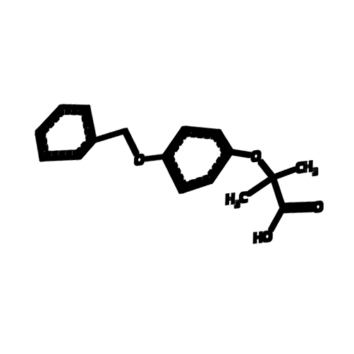 CC(C)(Oc1ccc(OCc2ccccc2)cc1)C(=O)O